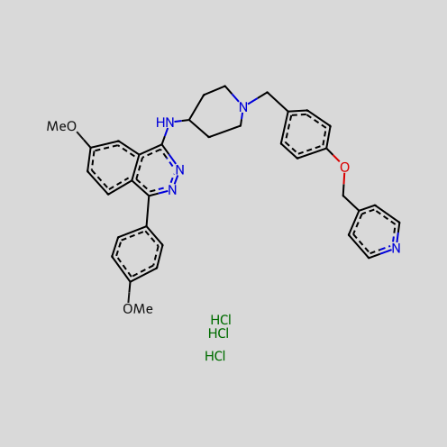 COc1ccc(-c2nnc(NC3CCN(Cc4ccc(OCc5ccncc5)cc4)CC3)c3cc(OC)ccc23)cc1.Cl.Cl.Cl